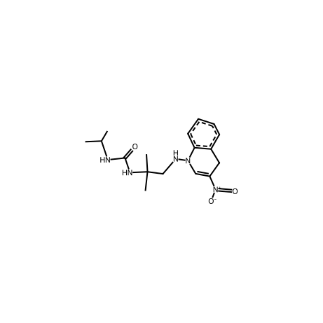 CC(C)NC(=O)NC(C)(C)CNN1C=C([N+](=O)[O-])Cc2ccccc21